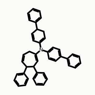 C1=CC(c2ccccc2)C(c2ccccc2)C=C(N(C2=CCC(c3ccccc3)C=C2)c2ccc(-c3ccccc3)cc2)C1